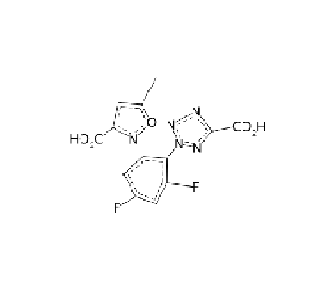 Cc1cc(C(=O)O)no1.O=C(O)c1nnn(-c2ccc(F)cc2F)n1